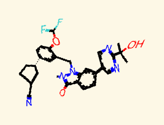 Cn1c(=O)c2ccc(-c3cnc(C(C)(C)O)nc3)cc2n1Cc1cc([C@H]2CCC(C#N)C2)ccc1OC(F)F